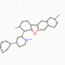 Cc1ccc2cc3oc4c(-c5cc(-c6ccccc6)cc[n+]5C)c(C)ccc4c3cc2c1